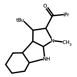 CC(C)C(=O)C1C(C(C)(C)C)C2C3CCCCC3NC2N1C